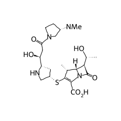 CN[C@H]1CCN(C(=O)C[C@H](O)[C@@H]2C[C@H](SC3=C(C(=O)O)N4C(=O)[C@H]([C@@H](C)O)[C@H]4[C@H]3C)CN2)C1